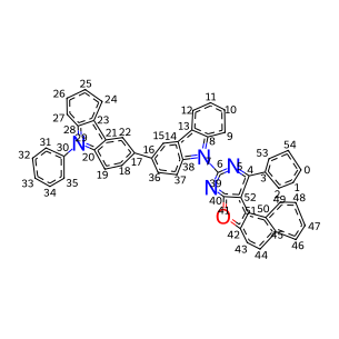 c1ccc(-c2nc(-n3c4ccccc4c4cc(-c5ccc6c(c5)c5ccccc5n6-c5ccccc5)ccc43)nc3oc4ccc5ccccc5c4c23)cc1